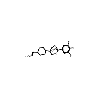 C/C=C/C1CCC(C23COC(c4cc(F)c(F)c(F)c4)(OC2)OC3)CC1